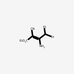 CCOC(=O)/C(C#N)=C(\N)C(CC)CC